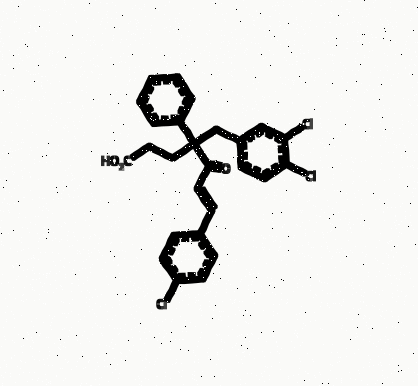 O=C(O)CCC(Cc1ccc(Cl)c(Cl)c1)(C(=O)/C=C/c1ccc(Cl)cc1)c1ccccc1